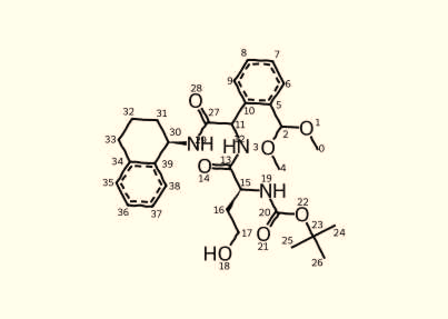 COC(OC)c1ccccc1C(NC(=O)[C@H](CCO)NC(=O)OC(C)(C)C)C(=O)N[C@@H]1CCCc2ccccc21